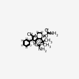 CC(C)(C)C1c2c(OC(N)=O)c(-c3ccccc3)c(Cl)n2CCN1OC(N)=O